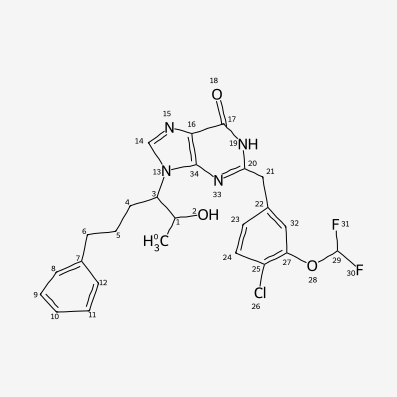 CC(O)C(CCCc1ccccc1)n1cnc2c(=O)[nH]c(Cc3ccc(Cl)c(OC(F)F)c3)nc21